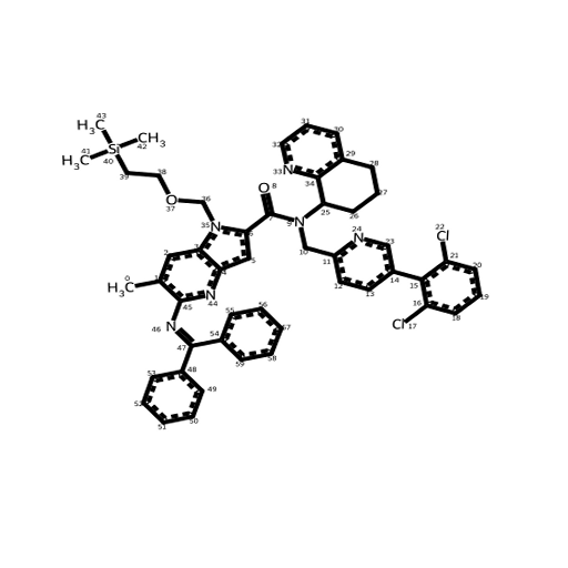 Cc1cc2c(cc(C(=O)N(Cc3ccc(-c4c(Cl)cccc4Cl)cn3)C3CCCc4cccnc43)n2COCC[Si](C)(C)C)nc1N=C(c1ccccc1)c1ccccc1